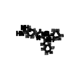 N=C(N)c1ccc(-c2c[nH]c([C@H](Cc3ccccc3)NC(=O)c3ccccc3)n2)cc1